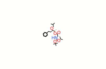 CCC[C@H](NC(=O)OC(C)(C)C)C(=O)O[C@@H](C)[C@@H](CCc1ccccc1)OCC(C)C